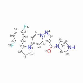 O=C(c1cnn2ccc(N3CCCC3c3cc(F)ccc3F)cc12)N1CC2CC1CN2